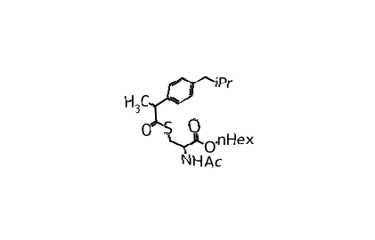 CCCCCCOC(=O)[C@H](CSC(=O)C(C)c1ccc(CC(C)C)cc1)NC(C)=O